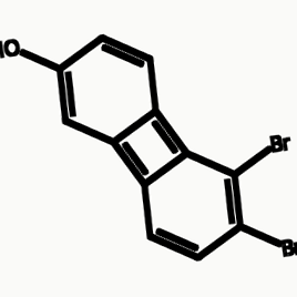 Oc1ccc2c(c1)=c1ccc(Br)c(Br)c1=2